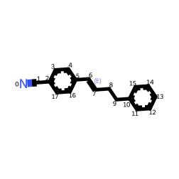 N#Cc1ccc(/C=C/CCc2ccccc2)cc1